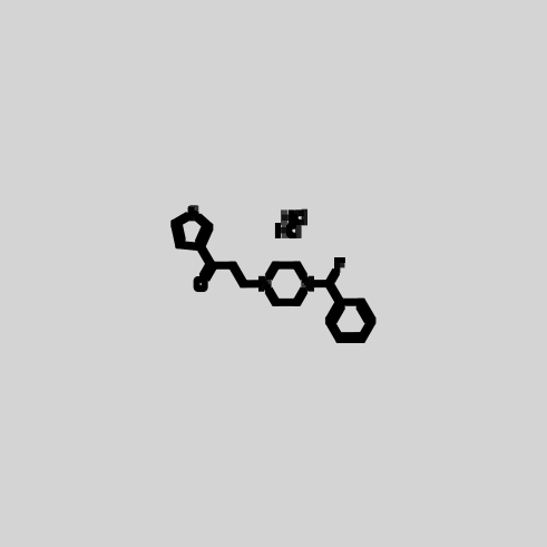 Cl.Cl.O=C(CCN1CCN(C(F)c2ccccc2)CC1)c1ccsc1